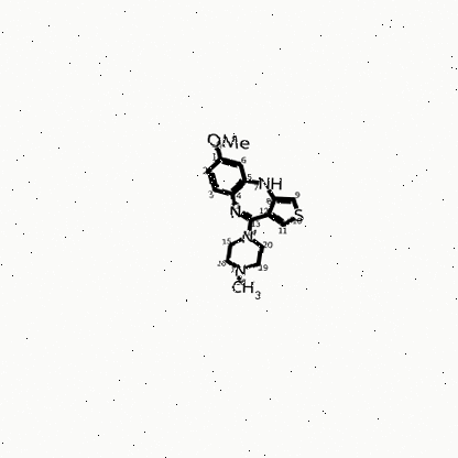 COc1ccc2c(c1)Nc1cscc1C(N1CCN(C)CC1)=N2